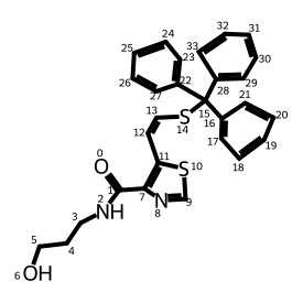 O=C(NCCCO)c1ncsc1/C=C\SC(c1ccccc1)(c1ccccc1)c1ccccc1